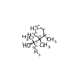 CC[C@H](C)C(C)(C)C(C)(C)O